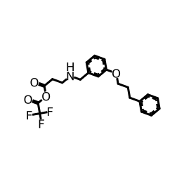 O=C(CCNCc1cccc(OCCCc2ccccc2)c1)OC(=O)C(F)(F)F